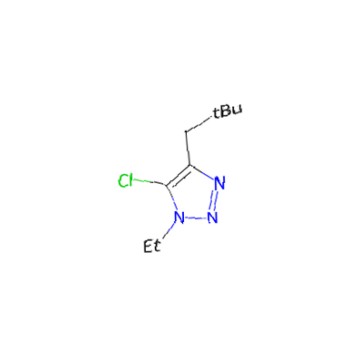 CCn1nnc(CC(C)(C)C)c1Cl